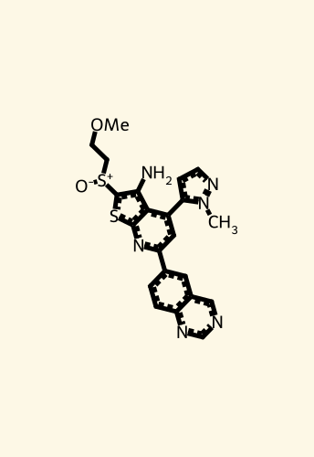 COCC[S+]([O-])c1sc2nc(-c3ccc4ncncc4c3)cc(-c3ccnn3C)c2c1N